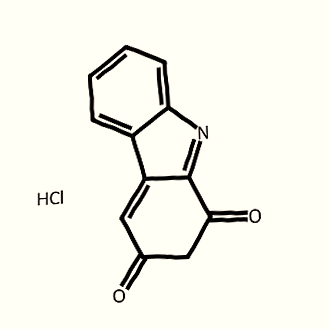 Cl.O=C1C=C2C(=Nc3ccccc32)C(=O)C1